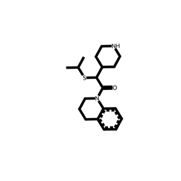 CC(C)SC(C(=O)N1CCCc2ccccc21)C1CCNCC1